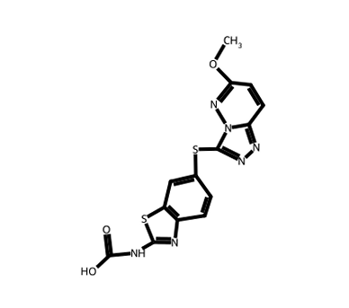 COc1ccc2nnc(Sc3ccc4nc(NC(=O)O)sc4c3)n2n1